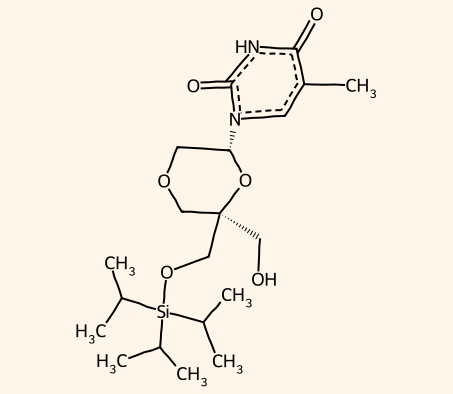 Cc1cn([C@H]2COC[C@](CO)(CO[Si](C(C)C)(C(C)C)C(C)C)O2)c(=O)[nH]c1=O